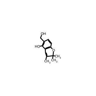 CC1=Cc2c(ccc(CO)c2O)OC1(C)C